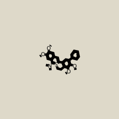 COc1cc2c(cc1OC)C(N(C)C)=S1CCc3c(cc(-c4ccccc4)c(OC)c3OC)C1=C2